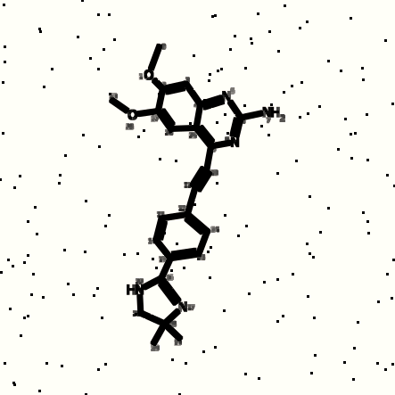 COc1cc2nc(N)nc(C#Cc3ccc(C4=NC(C)(C)CN4)cc3)c2cc1OC